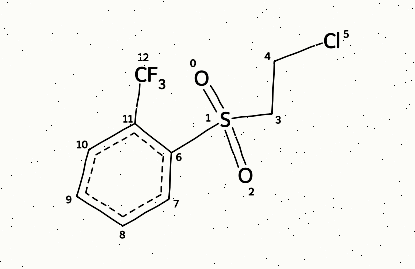 O=S(=O)(CCCl)c1ccccc1C(F)(F)F